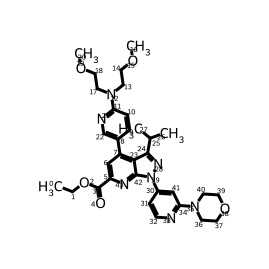 CCOC(=O)c1cc(-c2ccc(N(CCOC)CCOC)nc2)c2c(C(C)C)nn(-c3ccnc(N4CCOCC4)c3)c2n1